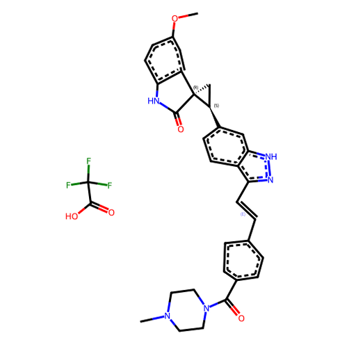 COc1ccc2c(c1)[C@]1(C[C@H]1c1ccc3c(/C=C/c4ccc(C(=O)N5CCN(C)CC5)cc4)n[nH]c3c1)C(=O)N2.O=C(O)C(F)(F)F